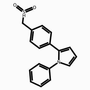 O=[SH](=O)Cc1ccc(-c2cccn2-c2ccccc2)cc1